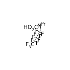 CC(C)N(CC(F)(F)C(F)(F)C(F)(F)C(F)(F)C(F)(F)F)C(=O)O